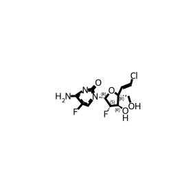 Nc1nc(=O)n([C@@H]2O[C@](C=CCl)(CO)[C@@H](O)[C@@H]2F)cc1F